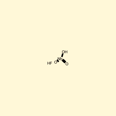 F.[O]=[Nb](=[O])[OH]